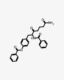 NC(=O)CCCC(=O)C(Cc1ccc(OC(=O)c2ccccc2)cc1)NC(=O)c1ccccc1